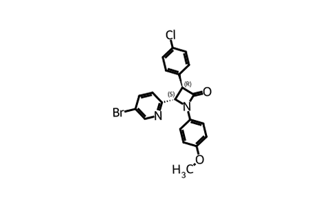 COc1ccc(N2C(=O)[C@H](c3ccc(Cl)cc3)[C@H]2c2ccc(Br)cn2)cc1